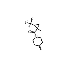 C=C1CCN(C(=O)C2(C)CC2C(F)(F)F)CC1